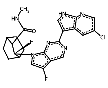 CNC(=O)C1C2CCC(CC2)[C@H]1n1cc(F)c2cnc(-c3c[nH]c4ncc(Cl)cc34)nc21